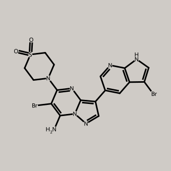 Nc1c(Br)c(N2CCS(=O)(=O)CC2)nc2c(-c3cnc4[nH]cc(Br)c4c3)cnn12